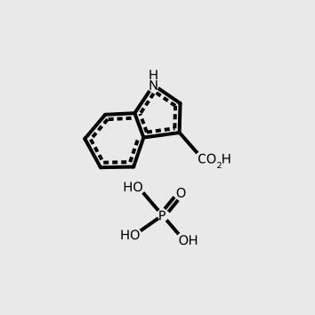 O=C(O)c1c[nH]c2ccccc12.O=P(O)(O)O